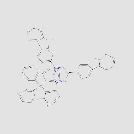 c1ccc(C2(c3ccccc3)c3ccccc3-c3cccc(-c4nc(-c5ccc6c(c5)oc5ccccc56)nc(-c5ccc6c(c5)oc5ccccc56)n4)c32)cc1